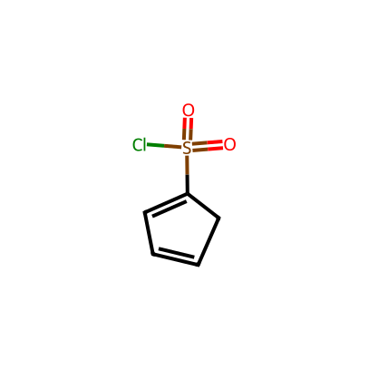 O=S(=O)(Cl)C1=CC=CC1